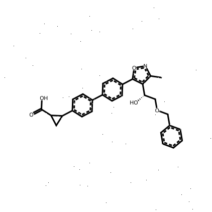 Cc1noc(-c2ccc(-c3ccc(C4CC4C(=O)O)cc3)cc2)c1[C@@H](O)COCc1ccccc1